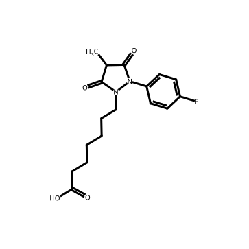 CC1C(=O)N(CCCCCCC(=O)O)N(c2ccc(F)cc2)C1=O